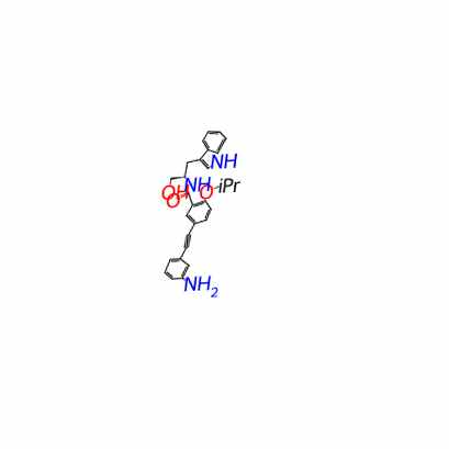 CC(C)Oc1ccc(C#Cc2cccc(N)c2)cc1C(=O)N[C@@H](CO)Cc1c[nH]c2ccccc12